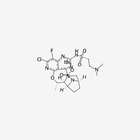 C[C@@H]1Oc2nc(Cl)c(F)c3nc(NS(=O)(=O)CCN(C)C)nc(c23)N2C[C@H]3CC[C@@H]([C@@H]12)N3C(=O)OC(C)(C)C